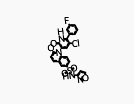 O=c1[nH]c(-c2cccc(F)c2)c(Cl)cc1-n1c(=O)ccc2cc(S(=O)(=O)Nc3ccon3)ccc21